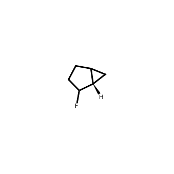 FC1CCC2C[C@H]12